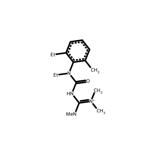 CCc1cccc(C)c1N(CC)C(=O)NC(NC)=[N+](C)C